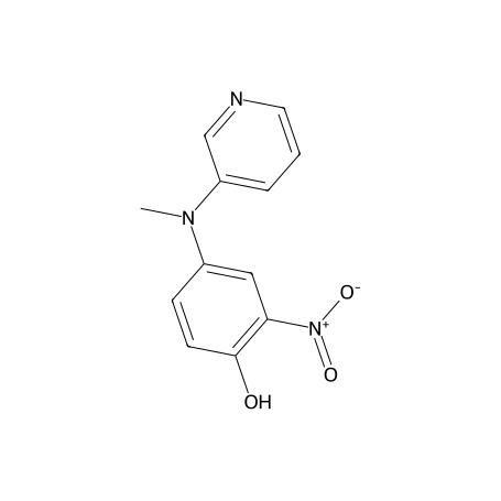 CN(c1cccnc1)c1ccc(O)c([N+](=O)[O-])c1